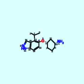 CC(C)c1c(O[C@H]2CCC[C@@H](N)C2)ccc2[nH]ncc12